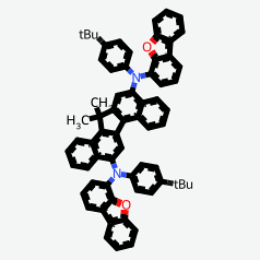 CC(C)(C)c1ccc(N(c2cc3c(c4ccccc24)-c2cc(N(c4ccc(C(C)(C)C)cc4)c4cccc5c4oc4ccccc45)c4ccccc4c2C3(C)C)c2cccc3c2oc2ccccc23)cc1